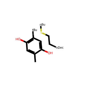 CCCCCCCCCCCCSCCCC.Cc1cc(O)c(C(C)(C)C)cc1O